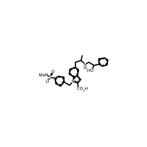 CNS(=O)(=O)c1ccc(Cn2c(C(=O)O)cc3cc(CC(C)NCC(O)c4ccccc4)ccc32)cc1